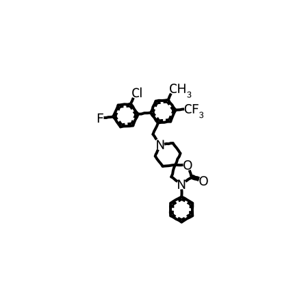 Cc1cc(-c2ccc(F)cc2Cl)c(CN2CCC3(CC2)CN(c2ccccc2)C(=O)O3)cc1C(F)(F)F